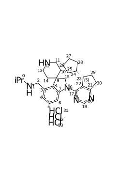 CC(C)NCc1cccc2c1C1(CCNCC1)CN2c1ncnc2c1[C@H](C1CCCC1)CC2.Cl.Cl.Cl